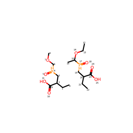 CCC(C[PH](=O)COC)C(=O)O.CCOC(C)[PH](=O)CC(CC)C(=O)O